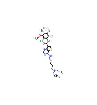 CCN(CC)CCCCCNc1ncnc2c(C(=O)Nc3c(Cl)c(OC)c(Br)c(OC)c3Cl)csc12